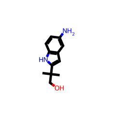 CC(C)(CO)c1cc2cc(N)ccc2[nH]1